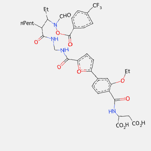 CCCCCC(C(=O)NCNC(=O)c1ccc(-c2ccc(C(=O)NC(CC(=O)O)C(=O)O)c(OCC)c2)o1)C(CC)N(C=O)OC(=O)c1ccc(C(F)(F)F)cc1